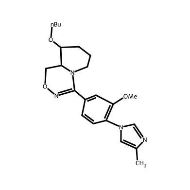 CCCCOC1CCCN2C(c3ccc(-n4cnc(C)c4)c(OC)c3)=NOCC12